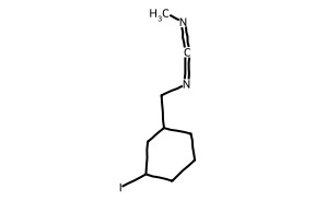 CN=C=NCC1CCCC(I)C1